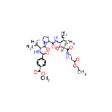 CCOC(=O)CCNC(=O)C(F)(F)C(=O)C(NC(=O)[C@@H]1CCCN1C(=O)[C@@H](NC(=O)c1ccc(C(=O)OC)cc1)C(C)C)C(C)C